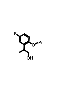 C[C](CO)c1cc(F)ccc1OC(C)C